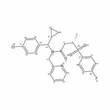 C[C@@H](CC(=O)N(Cc1ccccn1)C(c1ccc(Cl)cc1)C1CC1)S(=O)(=O)c1ccc(F)cc1